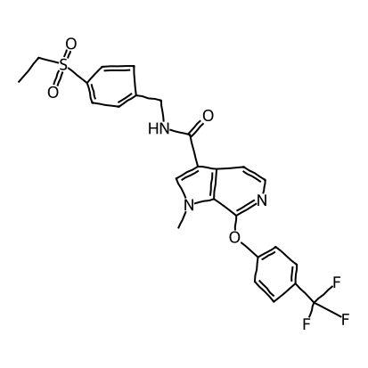 CCS(=O)(=O)c1ccc(CNC(=O)c2cn(C)c3c(Oc4ccc(C(F)(F)F)cc4)nccc23)cc1